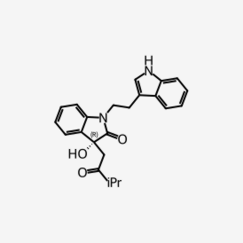 CC(C)C(=O)C[C@]1(O)C(=O)N(CCc2c[nH]c3ccccc23)c2ccccc21